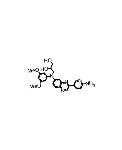 COc1cc(OC)cc(N(CC(O)CO)c2ccc3ncc(-c4ccc(N)nc4)nc3c2)c1